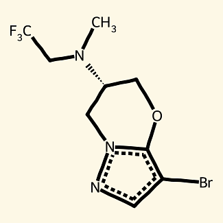 CN(CC(F)(F)F)[C@@H]1COc2c(Br)cnn2C1